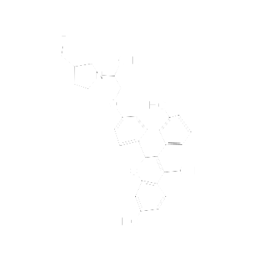 CC1=C(c2cccc(O)c2)C(c2ccc(OCC(C)N3CCC(CF)C3)cc2)Oc2cc(O)ccc21